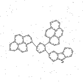 c1cc2ccc3ccc(-c4ccc(-c5ccc6sc7ccccc7c6c5)c(-c5ccc6ccc7cccc8ccc5c6c78)c4)c4ccc(c1)c2c34